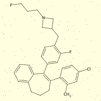 Cc1cc(Cl)ccc1C1=C(c2ccc(CC3CN(CCCF)C3)c(F)c2)c2ccccc2CCC1